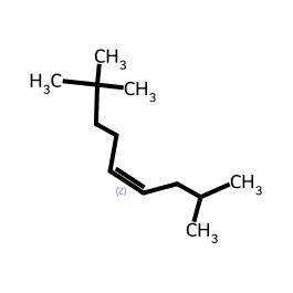 CC(C)C/C=C\CCC(C)(C)C